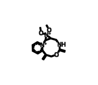 C=C1NCC2C([n+]3ccccc3C(=C)CO1)[N+]2(OC)OC